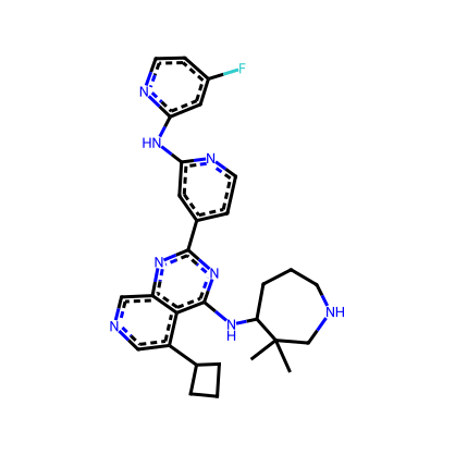 CC1(C)CNCCCC1Nc1nc(-c2ccnc(Nc3cc(F)ccn3)c2)nc2cncc(C3CCC3)c12